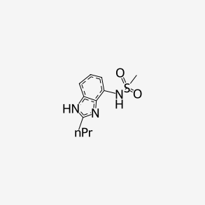 CCCc1nc2c(NS(C)(=O)=O)cccc2[nH]1